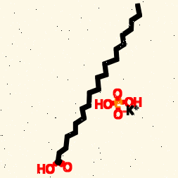 CCCCCCCCCCCCCCCCCCCCCC(=O)O.O=P([O-])(O)O.[K+]